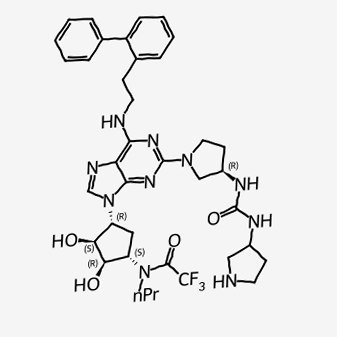 CCCN(C(=O)C(F)(F)F)[C@H]1C[C@@H](n2cnc3c(NCCc4ccccc4-c4ccccc4)nc(N4CC[C@@H](NC(=O)NC5CCNC5)C4)nc32)[C@H](O)[C@@H]1O